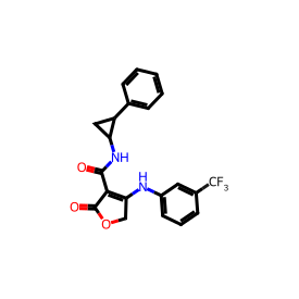 O=C(NC1CC1c1ccccc1)C1=C(Nc2cccc(C(F)(F)F)c2)COC1=O